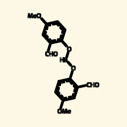 COc1ccc(OBOc2ccc(OC)cc2C=O)c(C=O)c1